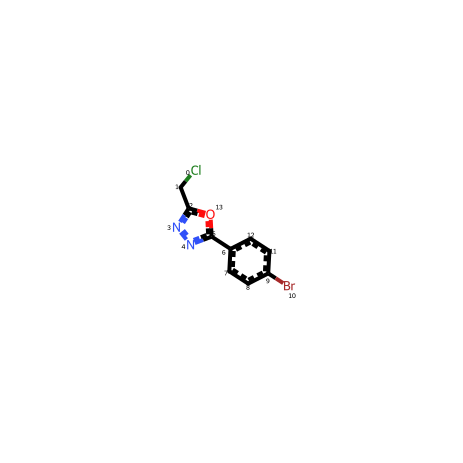 ClCc1nnc(-c2ccc(Br)cc2)o1